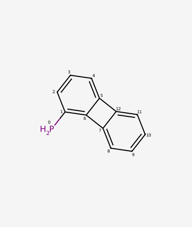 Pc1cccc2c1-c1ccccc1-2